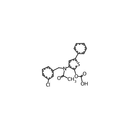 CC(=O)N(Cc1cccc(Cl)c1)c1cc(-c2ccccc2)sc1OC(=O)O